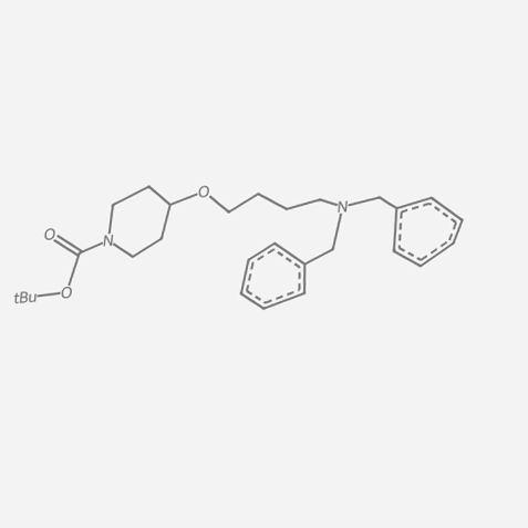 CC(C)(C)OC(=O)N1CCC(OCCCCN(Cc2ccccc2)Cc2ccccc2)CC1